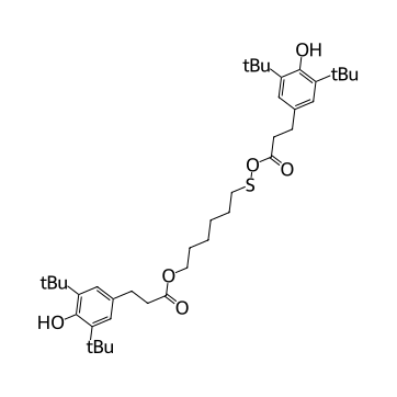 CC(C)(C)c1cc(CCC(=O)OCCCCCCSOC(=O)CCc2cc(C(C)(C)C)c(O)c(C(C)(C)C)c2)cc(C(C)(C)C)c1O